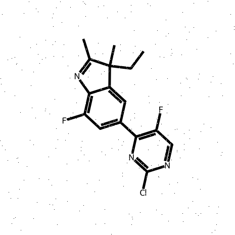 CCC1(C)C(C)=Nc2c(F)cc(-c3nc(Cl)ncc3F)cc21